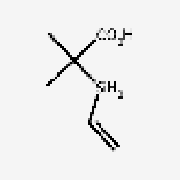 C=C[SiH2]C(C)(C)C(=O)O